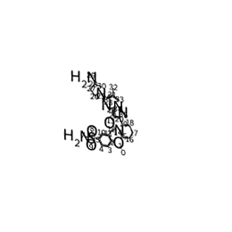 COc1ccc(S(N)(=O)=O)cc1C(=O)N1CCCCC1c1cc2nc(N3CCC(N)C3)c(C)cn2n1